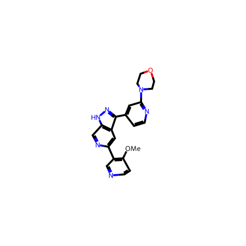 COc1ccncc1-c1cc2c(-c3ccnc(N4CCOCC4)c3)n[nH]c2cn1